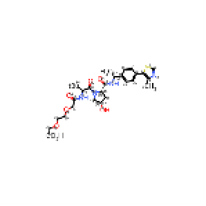 Cc1ncsc1-c1ccc([C@H](C)NC(=O)[C@@H]2C[C@@H](O)CN2C(=O)C(NC(=O)COCCOCC(=O)O)C(C)(C)C)cc1